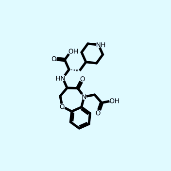 O=C(O)CN1C(=O)C(N[C@@H](CC2CCNCC2)C(=O)O)COc2ccccc21